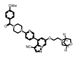 COc1ccc(C(=O)N2CCN(c3ccc(-c4cc(OCCN5C[C@@H]6C[C@H]5CO6)cn5ncc(C#N)c45)cn3)CC2)cc1